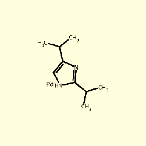 CC(C)c1c[nH]c(C(C)C)n1.[Pd]